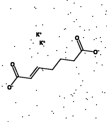 O=C([O-])C=CCCCC(=O)[O-].[K+].[K+]